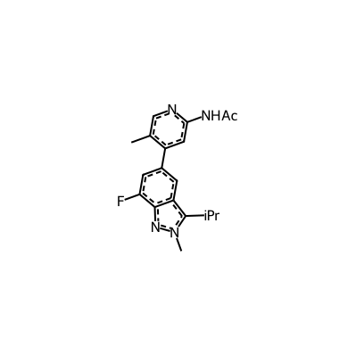 CC(=O)Nc1cc(-c2cc(F)c3nn(C)c(C(C)C)c3c2)c(C)cn1